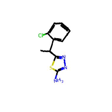 CC(c1nnc(N)s1)c1ccccc1Cl